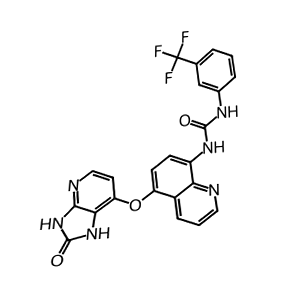 O=C(Nc1cccc(C(F)(F)F)c1)Nc1ccc(Oc2ccnc3[nH]c(=O)[nH]c23)c2cccnc12